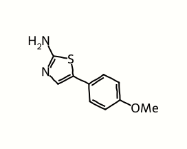 COc1ccc(-c2cnc(N)s2)cc1